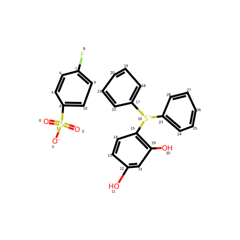 O=S(=O)([O-])c1ccc(F)cc1.Oc1ccc([S+](c2ccccc2)c2ccccc2)c(O)c1